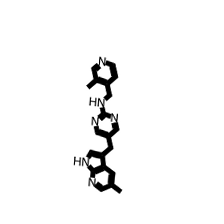 Cc1cnc2[nH]cc(Cc3cnc(NCc4ccncc4C)nc3)c2c1